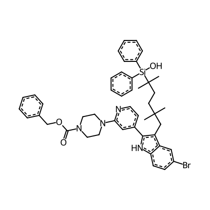 CC(C)(CCC(C)(C)[Si](O)(c1ccccc1)c1ccccc1)Cc1c(-c2ccnc(N3CCN(C(=O)OCc4ccccc4)CC3)c2)[nH]c2ccc(Br)cc12